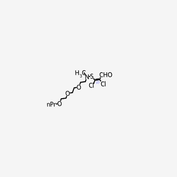 CCCOCCOCCOCCN(C)S/C(Cl)=C(/Cl)C=O